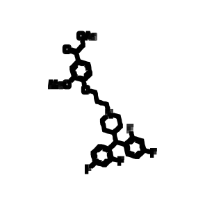 COc1cc(C(=O)COC(C)=O)ccc1OCCCN1CCC(C(c2ccc(F)cc2F)c2ccc(F)cc2F)CC1